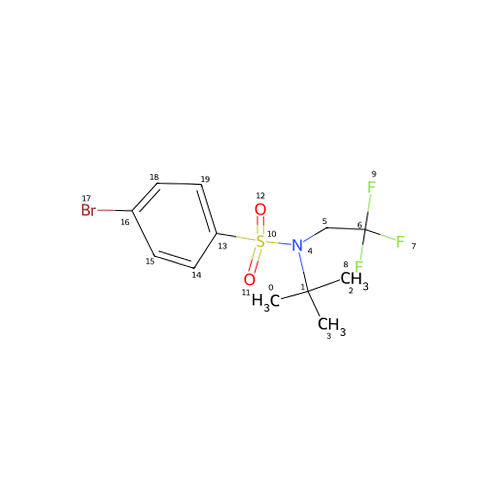 CC(C)(C)N(CC(F)(F)F)S(=O)(=O)c1ccc(Br)cc1